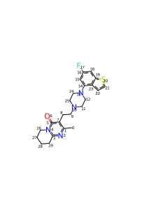 Cc1nc2n(c(=O)c1CCN1CCN(c3cc(F)cc4sccc34)CC1)CCCC2